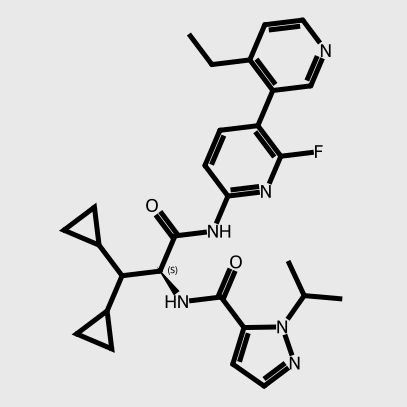 CCc1ccncc1-c1ccc(NC(=O)[C@@H](NC(=O)c2ccnn2C(C)C)C(C2CC2)C2CC2)nc1F